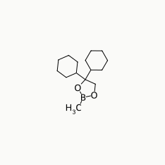 CB1OCC(C2CCCCC2)(C2CCCCC2)O1